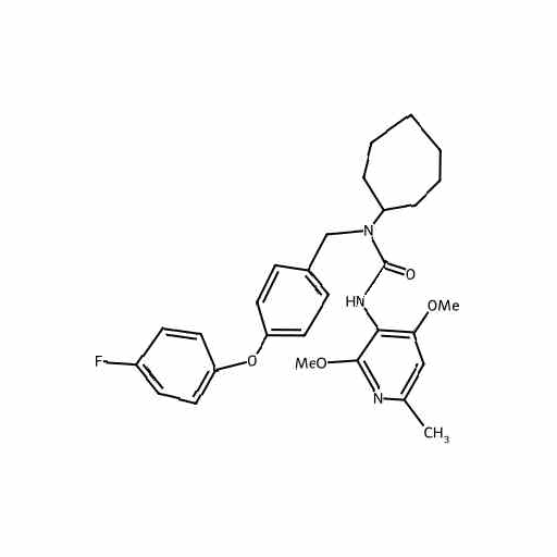 COc1cc(C)nc(OC)c1NC(=O)N(Cc1ccc(Oc2ccc(F)cc2)cc1)C1CCCCCC1